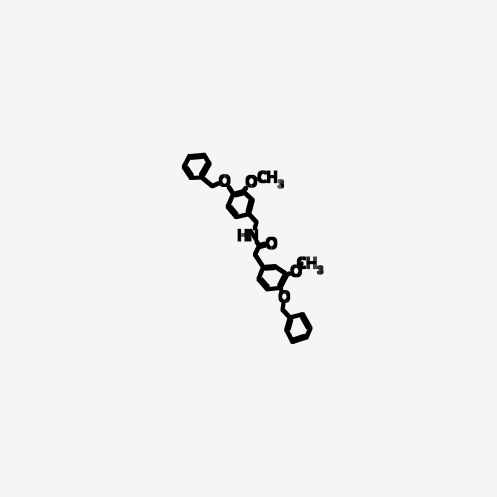 COc1cc(CNC(=O)Cc2ccc(OCc3ccccc3)c(OC)c2)ccc1OCc1ccccc1